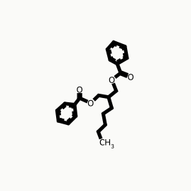 CCCCCC(COC(=O)c1ccccc1)COC(=O)c1ccccc1